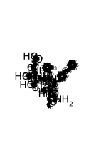 CCCCC(NC(=O)[C@H](CC(C)C)NC(=O)[C@H](Cc1ccc(OCc2ccccc2)cc1)NC(=O)[C@H](Cc1ccccc1C)NC(=O)[C@H](CCC(=O)O)NC(=O)[C@H](CC(=O)O)NC(=O)CCC(=O)O)C(=O)C(N)=O